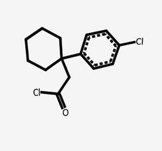 O=C(Cl)CC1(c2ccc(Cl)cc2)CCCCC1